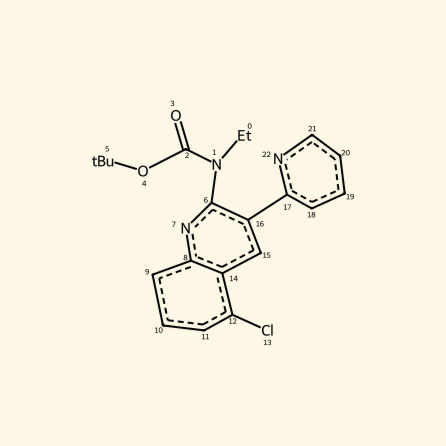 CCN(C(=O)OC(C)(C)C)c1nc2cccc(Cl)c2cc1-c1ccccn1